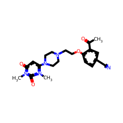 CC(=O)c1cc(C#N)ccc1OCCN1CCN(c2cc(=O)n(C)c(=O)n2C)CC1